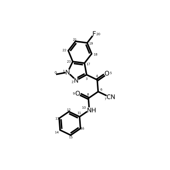 Cn1nc(C(=O)C(C#N)C(=O)Nc2ccccc2)c2cc(F)ccc21